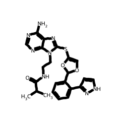 CC(C)C(=O)NCCn1c(SC2=COC(c3ccccc3-c3cc[nH]n3)O2)nc2c(N)ncnc21